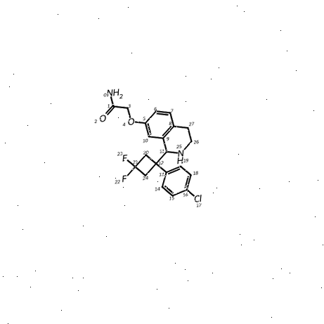 NC(=O)COc1ccc2c(c1)C(C1(c3ccc(Cl)cc3)CC(F)(F)C1)NCC2